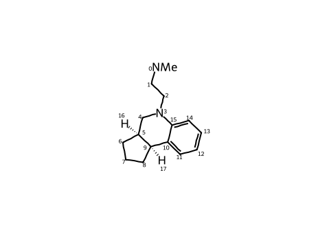 CNCCN1C[C@@H]2CCC[C@@H]2c2ccccc21